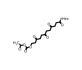 CCCCCCC(=O)CCC(=O)CCC(=O)CCC(=O)CCOC(=O)OC(C)Cl